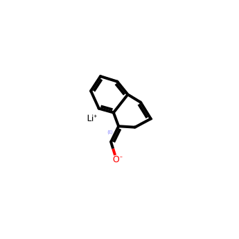 [Li+].[O-]/C=C1\CC=Cc2ccccc21